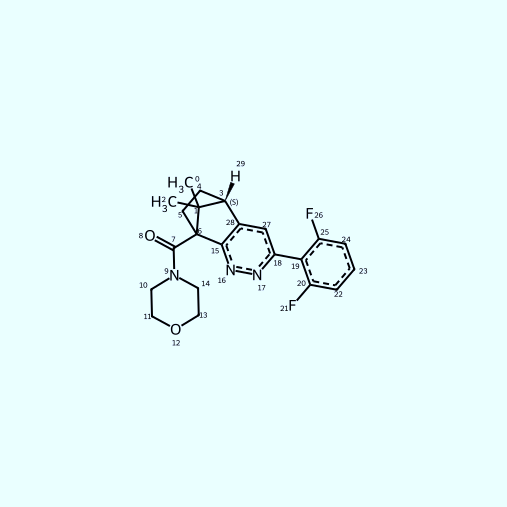 CC1(C)[C@@H]2CCC1(C(=O)N1CCOCC1)c1nnc(-c3c(F)cccc3F)cc12